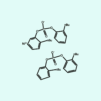 CCCCc1ccccc1OP(=O)([O-])Oc1ccccc1CCCC.CCCCc1ccccc1OP(=O)([O-])Oc1ccccc1CCCC.[Ni+2]